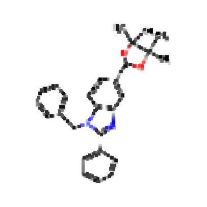 CC1(C)OB(c2ccc3c(c2)nc(-c2ccccc2)n3Cc2ccccc2)OC1(C)C